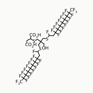 O=C(O)CC(SCC(CO)(CSC(F)CC(F)(F)C(F)(F)C(F)(F)C(F)(F)C(F)(F)C(F)(F)C(F)(F)C(F)(F)F)CSC(F)CC(F)(F)C(F)(F)C(F)(F)C(F)(F)C(F)(F)C(F)(F)C(F)(F)C(F)(F)F)C(=O)O